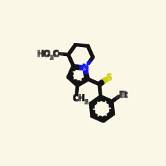 CCc1ccccc1C(=S)c1c(C)cc2n1CCCC2C(=O)O